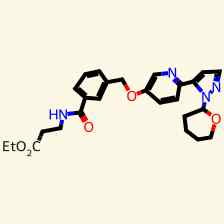 CCOC(=O)CCNC(=O)c1cccc(COc2ccc(-c3ccnn3C3CCCCO3)nc2)c1